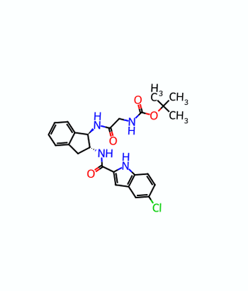 CC(C)(C)OC(=O)NCC(=O)N[C@@H]1c2ccccc2C[C@H]1NC(=O)c1cc2cc(Cl)ccc2[nH]1